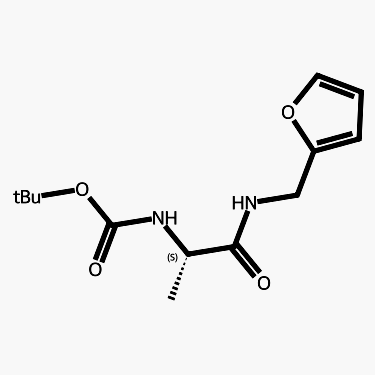 C[C@H](NC(=O)OC(C)(C)C)C(=O)NCc1ccco1